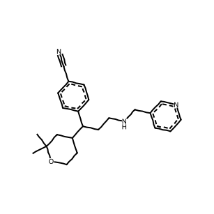 CC1(C)CC(C(CCNCc2cccnc2)c2ccc(C#N)cc2)CCO1